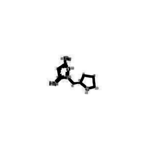 CC(C)(C)c1cc(=N)n(C[C@H]2CCCO2)o1